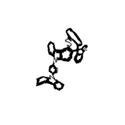 c1ccc2c(c1)Sc1c(ccc3c1c1ccccc1n3-c1ccc(-n3c4ccccc4c4ccccc43)cc1)C21c2ccccc2-c2ccccc21